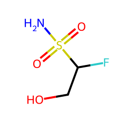 NS(=O)(=O)C(F)CO